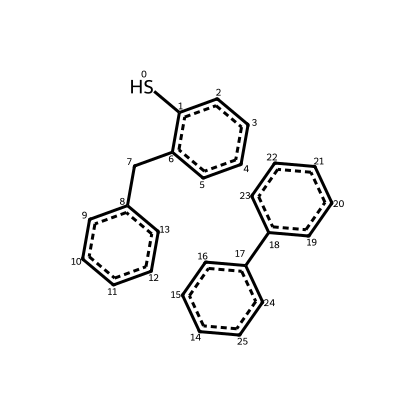 Sc1ccccc1Cc1ccccc1.c1ccc(-c2ccccc2)cc1